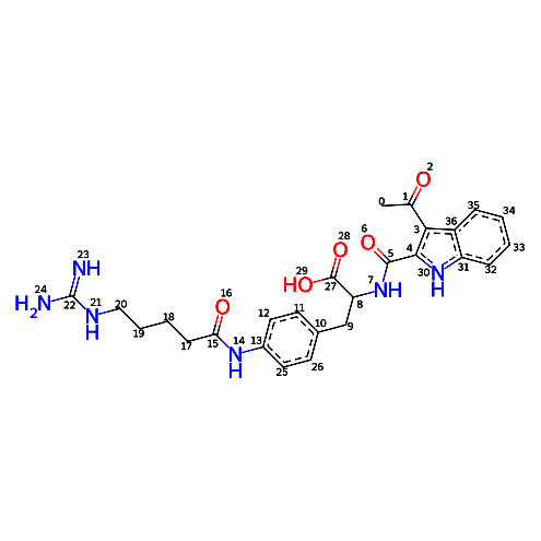 CC(=O)c1c(C(=O)NC(Cc2ccc(NC(=O)CCCCNC(=N)N)cc2)C(=O)O)[nH]c2ccccc12